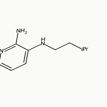 CC(C)CCNc1cccnc1N